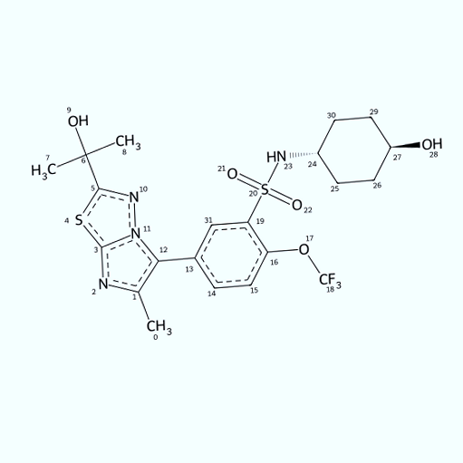 Cc1nc2sc(C(C)(C)O)nn2c1-c1ccc(OC(F)(F)F)c(S(=O)(=O)N[C@H]2CC[C@H](O)CC2)c1